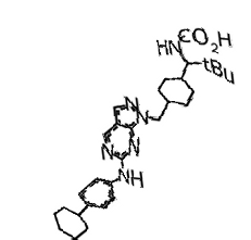 CC(C)(C)C(NC(=O)O)C1CCC(Cn2ncc3cnc(Nc4ccc(C5CCCCC5)cc4)nc32)CC1